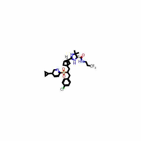 CC1(C)N=C([C@H]2CC3(CC(Cc4ccc(Cl)cc4)S(=O)(=O)C4=NCC(C5CC5)C=C4)CC2C3)N[C@H]1C(=O)NCCC(F)(F)F